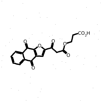 O=C(O)CCOC(=O)CC(=O)c1cc2c(o1)C(=O)c1ccccc1C2=O